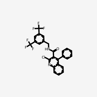 O=C(NCc1cc(C(F)(F)F)cc(C(F)(F)F)c1)c1c(Cl)nc2ccccc2c1-c1ccccc1